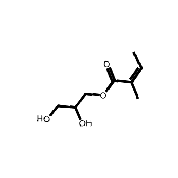 CC=C(C)C(=O)OCC(O)CO